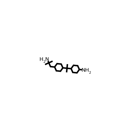 CC(C)(N)CC1CCC(C(C)(C)C2CCC(N)CC2)CC1